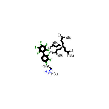 CCCCC(CC)CC[B-](CCC(CC)CCCC)(CCC(CC)CCCC)CCC(CC)CCCC.CCCC[NH2+]CC(C)CCC.Fc1ccc(-c2c(F)c(F)c(F)c(F)c2F)c(F)c1F